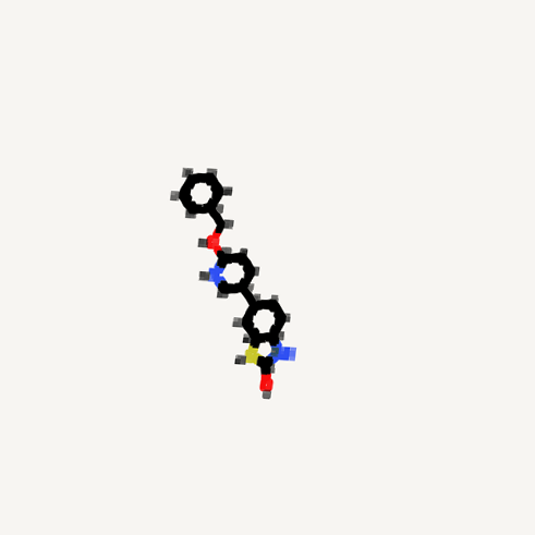 O=c1[nH]c2ccc(-c3ccc(OCc4ccccc4)nc3)cc2s1